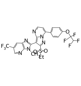 CCS(=O)(=O)c1nn2c(-c3ccc(OC(F)(F)C(F)F)cc3)ccnc2c1-c1nc2cc(C(F)(F)F)cnc2n1C